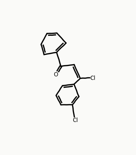 O=C(/C=C(/Cl)c1cccc(Cl)c1)c1ccccc1